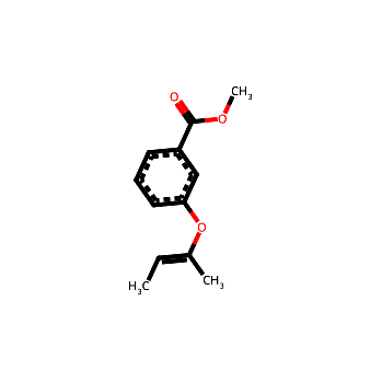 CC=C(C)Oc1cccc(C(=O)OC)c1